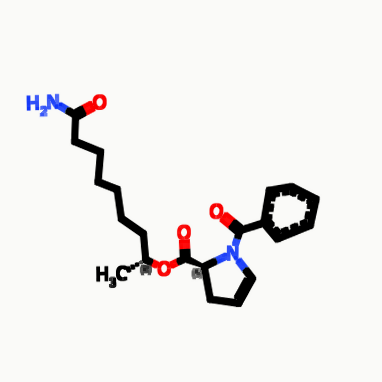 C[C@H](CCCCCCC(N)=O)OC(=O)[C@@H]1CC=CN1C(=O)c1ccccc1